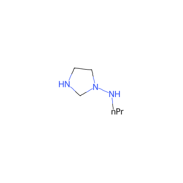 CCCNN1CCNC1